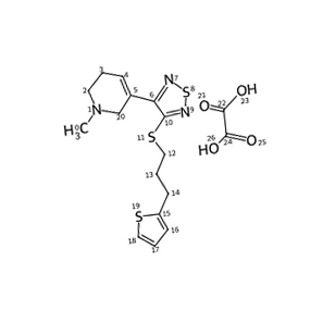 CN1CCC=C(c2nsnc2SCCCc2cccs2)C1.O=C(O)C(=O)O